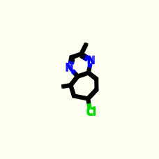 CC1=NC2CCC(Cl)CC(C)C2N=C1